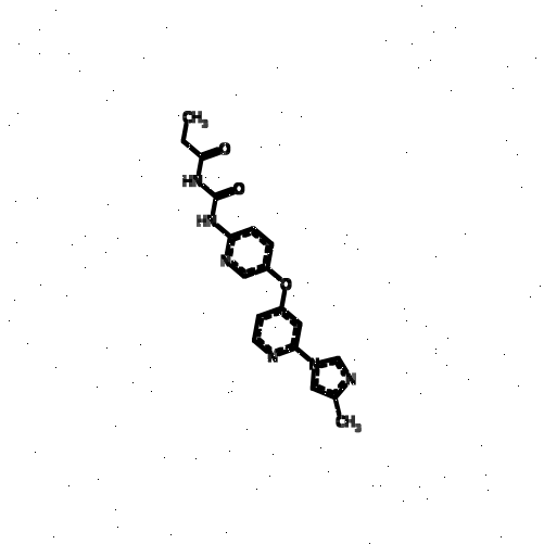 CCC(=O)NC(=O)Nc1ccc(Oc2ccnc(-n3cnc(C)c3)c2)cn1